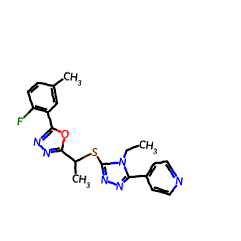 CCn1c(SC(C)c2nnc(-c3cc(C)ccc3F)o2)nnc1-c1ccncc1